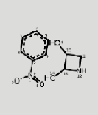 O=[N+]([O-])c1ccccc1.OC1CNC1O